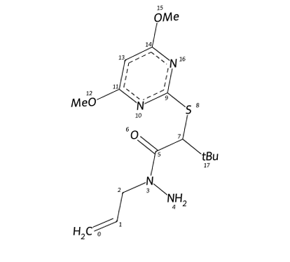 C=CCN(N)C(=O)C(Sc1nc(OC)cc(OC)n1)C(C)(C)C